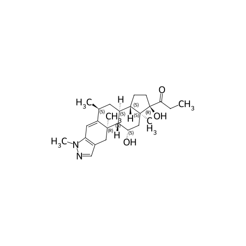 CCC(=O)[C@@]1(O)CC[C@H]2[C@@H]3C[C@H](C)C4=Cc5c(cnn5C)C[C@]4(C)[C@H]3[C@@H](O)C[C@@]21C